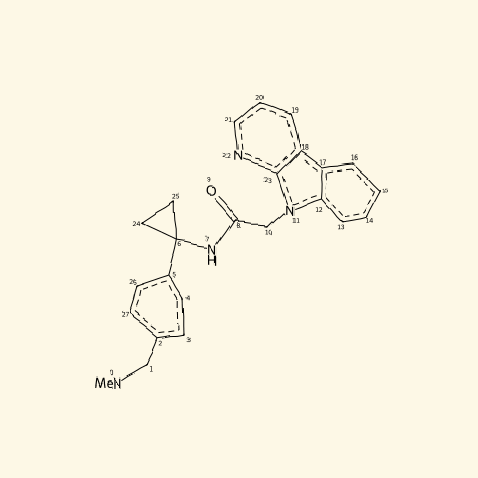 CNCc1ccc(C2(NC(=O)Cn3c4ccccc4c4cccnc43)CC2)cc1